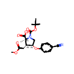 COC(=O)C[C@H]1[C@H](Oc2ccc(C#N)cc2)CN(C(=O)OC(C)(C)C)[C@]1(C)C(=O)O